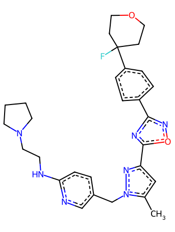 Cc1cc(-c2nc(-c3ccc(C4(F)CCOCC4)cc3)no2)nn1Cc1ccc(NCCN2CCCC2)nc1